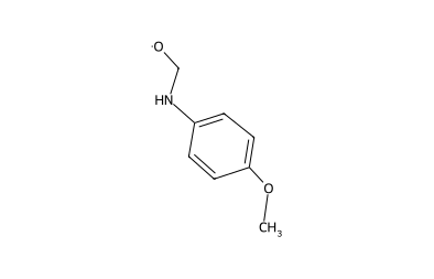 COc1ccc(NC[O])cc1